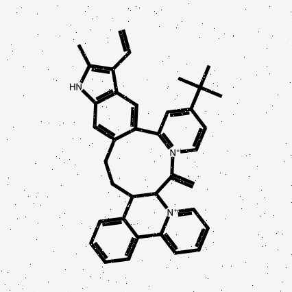 C=Cc1c(C)[nH]c2cc3c(cc12)-c1cc(C(C)(C)C)cc[n+]1C(=C)C1C(CC3)c2ccccc2-c2cccc[n+]21